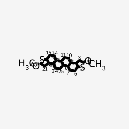 COc1cc2c(ccc3c2ccc2c4ccc5sc(OC)cc5c4ccc32)s1